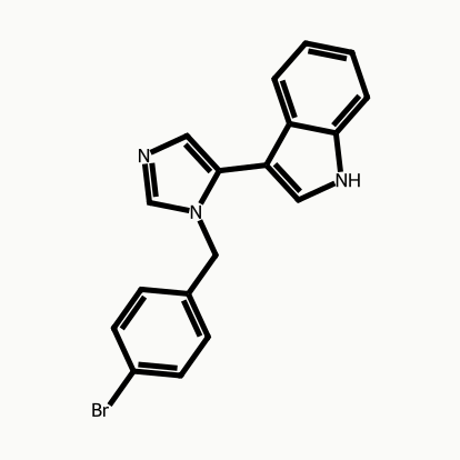 Brc1ccc(Cn2cncc2-c2c[nH]c3ccccc23)cc1